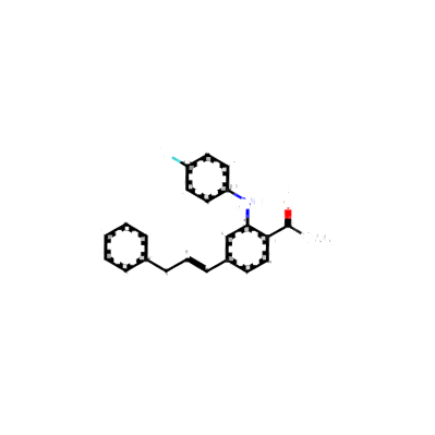 COC(=O)c1ccc(C=CCc2ccccc2)cc1Nc1ccc(F)cc1